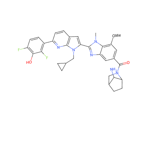 COc1cc(C(=O)N2CC3CCC2C3N)cc2nc(-c3cc4ccc(-c5ccc(F)c(O)c5F)nc4n3CC3CC3)n(C)c12